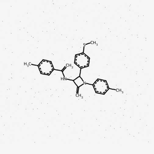 C=C(NC1C(=C)N(c2ccc(C)cc2)C1c1ccc(SC)cc1)c1ccc(C)cc1